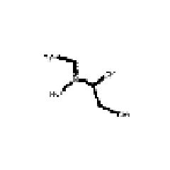 CCN(O)C(O)CO